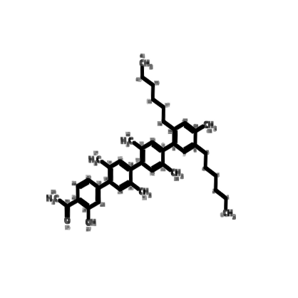 CCCCCCc1cc(-c2cc(C)c(-c3cc(C)c(-c4ccc(C(C)=O)c(O)c4)cc3C)cc2C)c(CCCCCC)cc1C